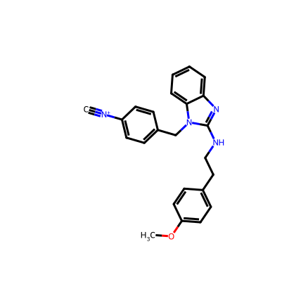 [C-]#[N+]c1ccc(Cn2c(NCCc3ccc(OC)cc3)nc3ccccc32)cc1